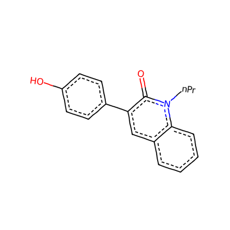 CCCn1c(=O)c(-c2ccc(O)cc2)cc2ccccc21